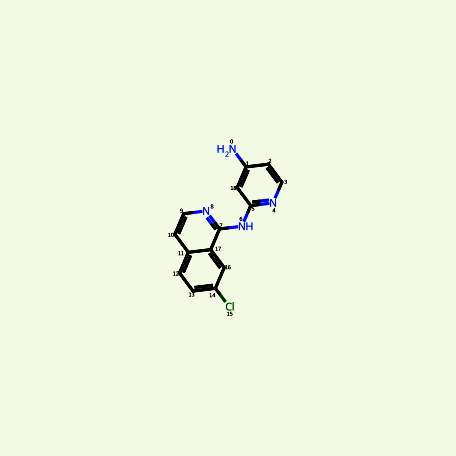 Nc1ccnc(Nc2nccc3ccc(Cl)cc23)c1